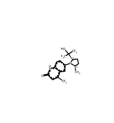 C[C@@H]1CC[C@H](C(O)(C(F)(F)F)C(F)(F)F)N1c1ccc2[nH]c(=O)cc(C(F)(F)F)c2c1